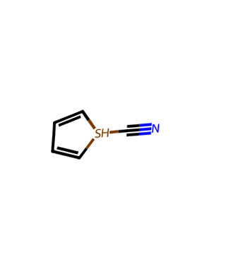 N#C[SH]1C=CC=C1